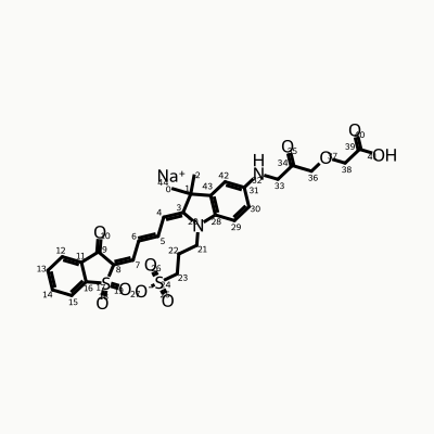 CC1(C)C(=CC=CC=C2C(=O)c3ccccc3S2(=O)=O)N(CCCS(=O)(=O)[O-])c2ccc(NCC(=O)COCC(=O)O)cc21.[Na+]